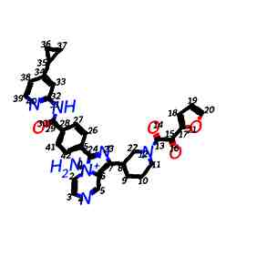 N[N+]12C=CN=CC1=C(C1CCCN(C(=O)C(=O)c3ccco3)C1)N=C2c1ccc(C(=O)Nc2cc(C3CC3)ccn2)cc1